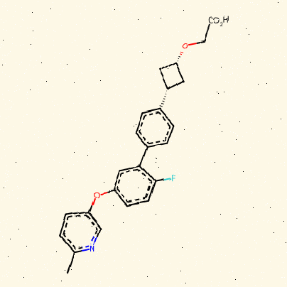 Cc1ccc(Oc2ccc(F)c(-c3ccc([C@H]4C[C@@H](OCC(=O)O)C4)cc3)c2)cn1